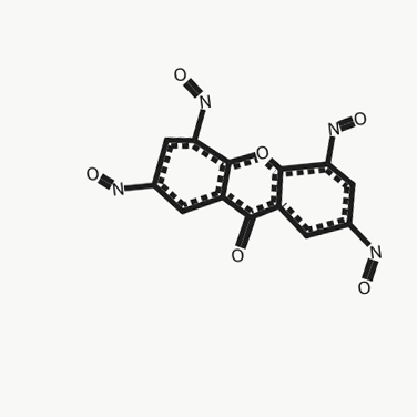 O=Nc1cc(N=O)c2oc3c(N=O)cc(N=O)cc3c(=O)c2c1